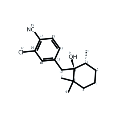 C[C@@H]1CCCC(C)(C)[C@]1(O)Cc1ccc(C#N)c(Cl)c1